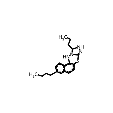 CCCCc1ccc2c3c(ccc2c1)SC1=NNC(CCC)N1N3